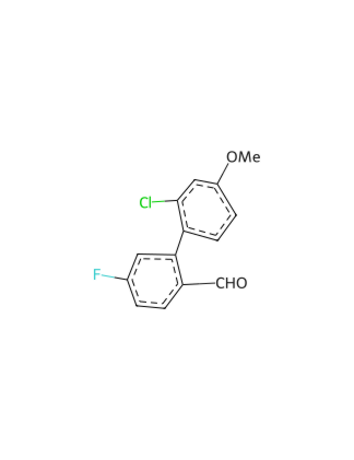 COc1ccc(-c2cc(F)ccc2C=O)c(Cl)c1